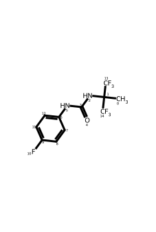 CC(NC(=O)Nc1ccc(F)cc1)(C(F)(F)F)C(F)(F)F